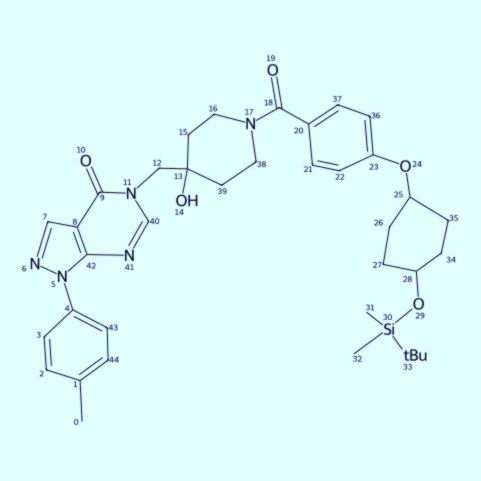 Cc1ccc(-n2ncc3c(=O)n(CC4(O)CCN(C(=O)c5ccc(OC6CCC(O[Si](C)(C)C(C)(C)C)CC6)cc5)CC4)cnc32)cc1